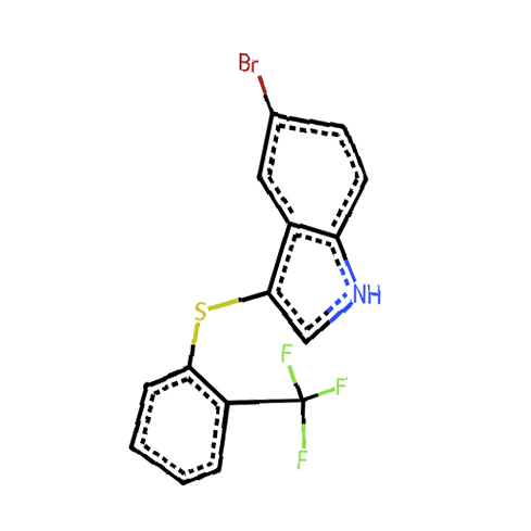 FC(F)(F)c1ccccc1Sc1c[nH]c2ccc(Br)cc12